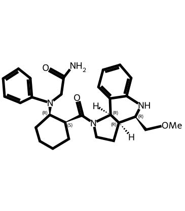 COC[C@@H]1Nc2ccccc2[C@H]2[C@@H]1CCN2C(=O)[C@H]1CCCC[C@H]1N(CC(N)=O)c1ccccc1